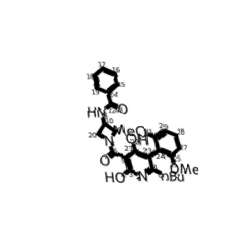 CCCCc1nc(O)c(C(=O)N2CC(NC(=O)c3ccccc3)C2)c(O)c1-c1c(OC)cccc1OC